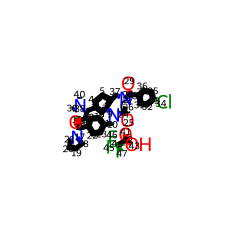 CCC(c1ccc2c(c1)N(Cc1ccc(C(=O)N3CC=CC3)cc1)C(=O)CN(C(=O)c1ccc(Cl)cc1)C2)N(C)C.O=C(O)C(F)(F)F